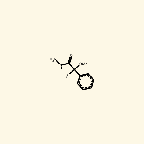 COC(C(=O)NN)(c1ccccc1)C(F)(F)F